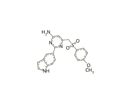 COc1ccc(S(=O)(=O)Cc2cc(N)nc(-c3ccc4[nH]ccc4c3)n2)cc1